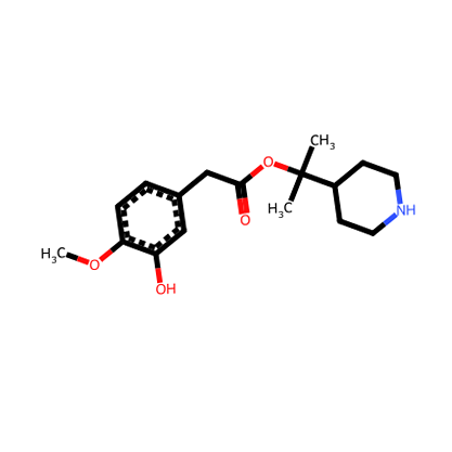 COc1ccc(CC(=O)OC(C)(C)C2CCNCC2)cc1O